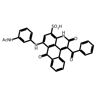 CC(=O)Nc1cccc(Nc2cc(S(=O)(=O)O)c3[nH]c(=O)c(C(=O)c4ccccc4)c4c3c2C(=O)c2ccccc2-4)c1